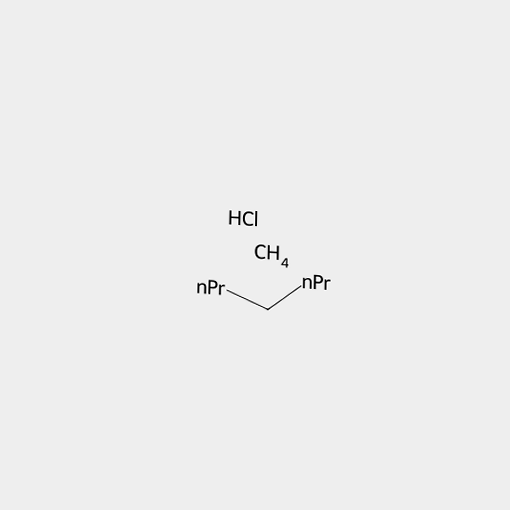 C.CCCCCCC.Cl